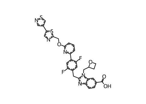 O=C(O)c1ccc2nc(Cc3cc(F)c(-c4cccc(OCc5ncc(-c6cnsc6)s5)n4)cc3F)n(CC3CCO3)c2c1